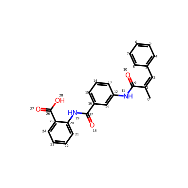 CC(=Cc1ccccc1)C(=O)Nc1cccc(C(=O)Nc2ccccc2C(=O)O)c1